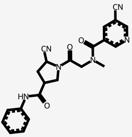 CN(CC(=O)N1CC(C(=O)Nc2ccccc2)CC1C#N)C(=O)c1cncc(C#N)c1